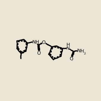 Cc1cccc(NC(=O)Oc2cccc(NC(N)=O)c2)c1